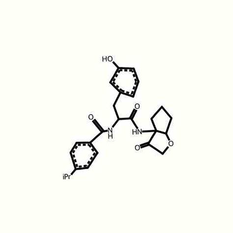 CC(C)c1ccc(C(=O)NC(Cc2cccc(O)c2)C(=O)NC23CCCC2OCC3=O)cc1